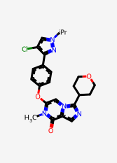 CC(C)n1cc(Cl)c(-c2ccc(Oc3cn4c(C5CCOCC5)ncc4c(=O)n3C)cc2)n1